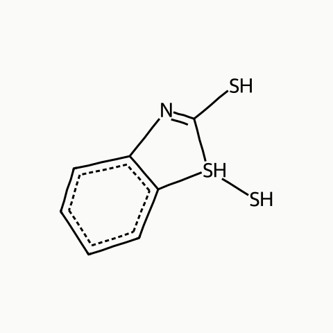 SC1=Nc2ccccc2[SH]1S